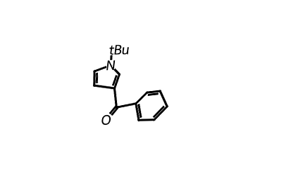 CC(C)(C)n1ccc(C(=O)c2ccccc2)c1